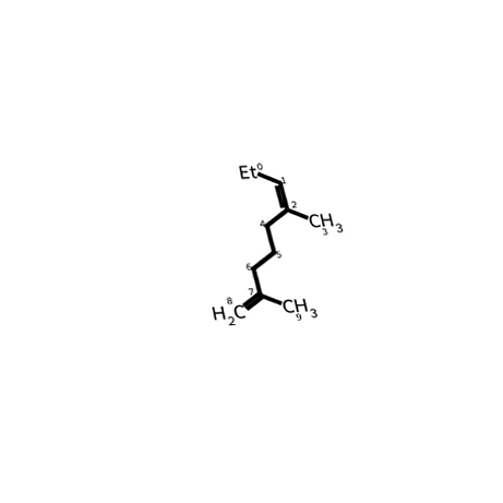 [CH2]CC=C(C)CCCC(=C)C